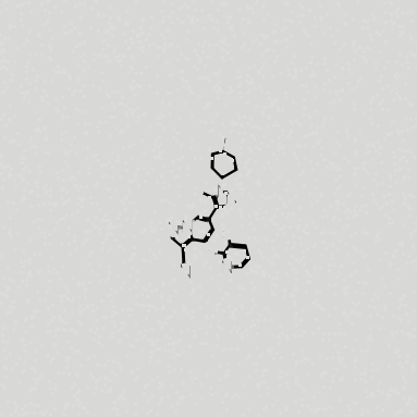 Cc1c(-c2cc(Sc3ncccc3F)c3c(C#N)cnn3c2)cnn1[C@H]1CC[C@H](C)CC1